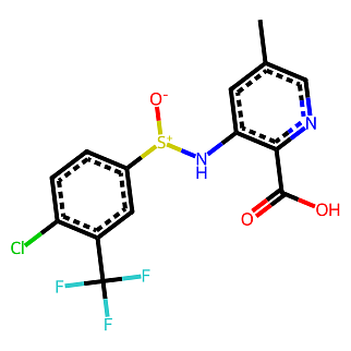 Cc1cnc(C(=O)O)c(N[S+]([O-])c2ccc(Cl)c(C(F)(F)F)c2)c1